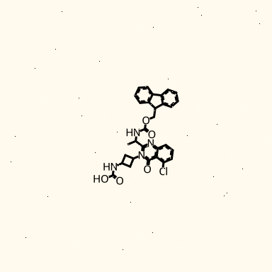 CC(NC(=O)OCC1c2ccccc2-c2ccccc21)c1nc2cccc(Cl)c2c(=O)n1C1CC(NC(=O)O)C1